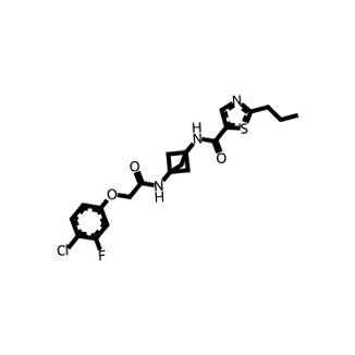 CCCc1ncc(C(=O)NC23CC(NC(=O)COc4ccc(Cl)c(F)c4)(C2)C3)s1